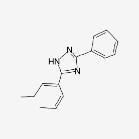 C/C=C\C(=C/CC)c1nc(-c2ccccc2)n[nH]1